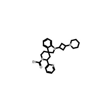 CCC(=O)N1CCC2(CC1c1ccccn1)CN(C1CC(N3CCCCC3)C1)c1ccccc12